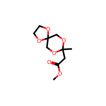 COC(=O)CC1(C)OCC2(CO1)OCCO2